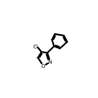 Clc1[c]onc1-c1ccccc1